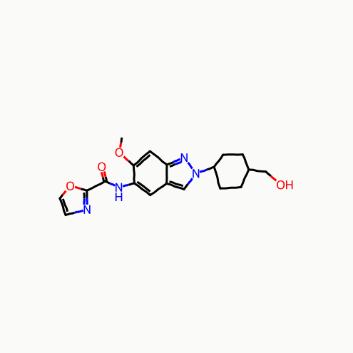 COc1cc2nn(C3CCC(CO)CC3)cc2cc1NC(=O)c1ncco1